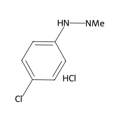 CNNc1ccc(Cl)cc1.Cl